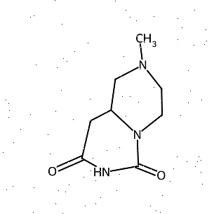 CN1CCN2C(=O)NC(=O)CC2C1